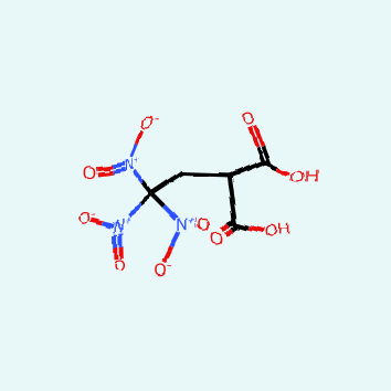 O=C(O)C(CC([N+](=O)[O-])([N+](=O)[O-])[N+](=O)[O-])C(=O)O